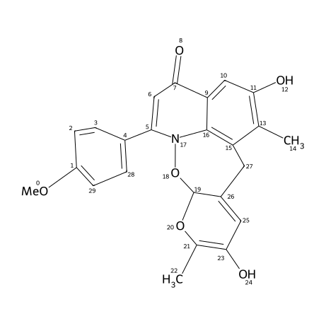 COc1ccc(-c2cc(=O)c3cc(O)c(C)c4c3n2OC2OC(C)=C(O)C=C2C4)cc1